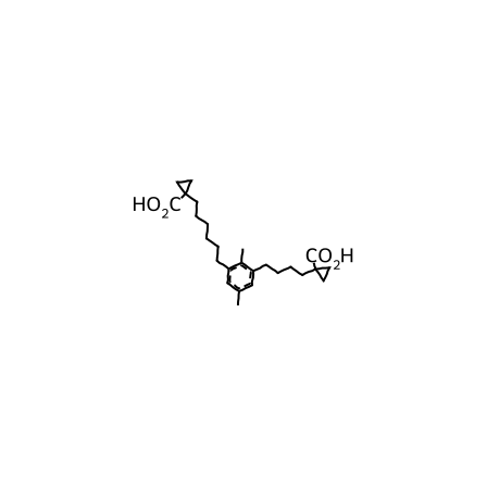 Cc1cc(CCCCCCC2(C(=O)O)CC2)c(C)c(CCCCC2(C(=O)O)CC2)c1